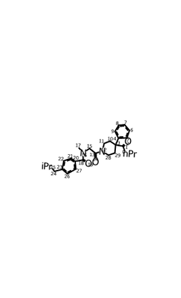 CCCC(=O)C1(c2ccccc2)CCN(C(=O)CN(C)C(=O)c2ccc(CC(C)C)cc2)CC1